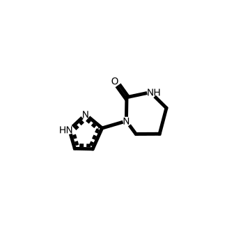 O=C1NCCCN1c1cc[nH]n1